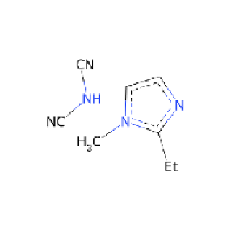 CCc1nccn1C.N#CNC#N